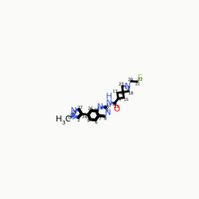 Cn1cc(-c2ccc3cnc(NC(=O)C4CC5(C4)CN(CCF)C5)nc3c2)cn1